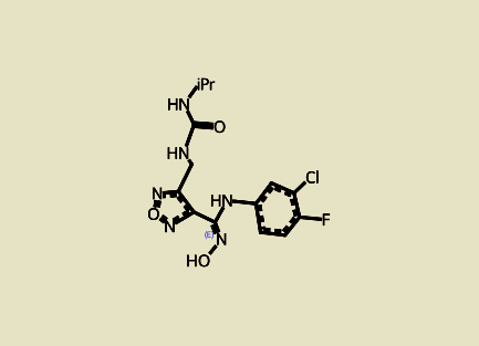 CC(C)NC(=O)NCc1nonc1/C(=N\O)Nc1ccc(F)c(Cl)c1